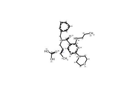 C/C=C/CN(Cc1ccccc1)C(=O)c1cnc(N2CCOCC2)nc1NCCC.O=C(O)O